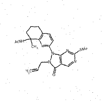 C=CCn1c(=O)c2cnc(SC)nc2n1-c1ccc2c(n1)C(C)(NC(C)=O)CCC2